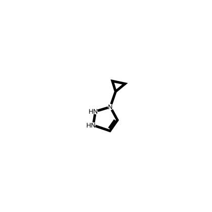 C1=CN(C2CC2)NN1